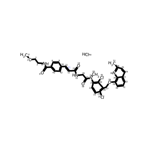 COCCNC(=O)c1ccc(/C=C/C(=O)NCC(=O)N(C)c2ccc(Cl)c(COc3cccc4ccc(C)nc34)c2Cl)cc1.Cl